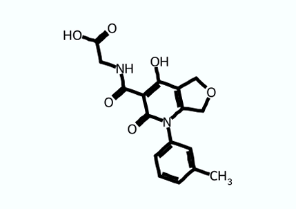 Cc1cccc(-n2c3c(c(O)c(C(=O)NCC(=O)O)c2=O)COC3)c1